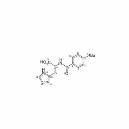 CC(C)(C)c1ccc(C(=O)NC(=Cc2ccc[nH]2)C(=O)O)cc1